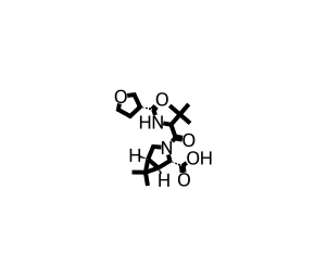 CC(C)(C)C(NC(=O)[C@@H]1CCOC1)C(=O)N1C[C@H]2[C@@H]([C@H]1C(=O)O)C2(C)C